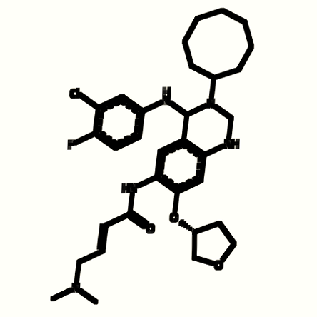 CN(C)C/C=C/C(=O)Nc1cc2c(cc1O[C@@H]1CCOC1)NCN(C1CCCCCCC1)C2Nc1ccc(F)c(Cl)c1